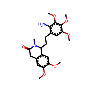 COc1cc2c(cc1OC)C(CCc1cc(OC)c(OC)c(OC)c1N)N(C)C(=O)C2